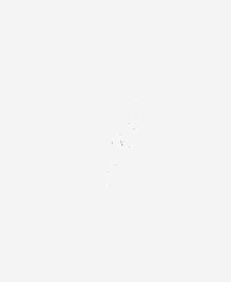 CCCCCCC(CC)OC(=O)OC(CC)CCCCCC